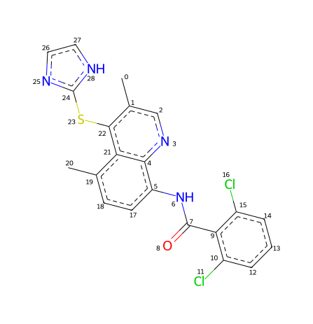 Cc1cnc2c(NC(=O)c3c(Cl)cccc3Cl)ccc(C)c2c1Sc1ncc[nH]1